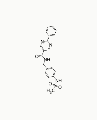 CS(=O)(=O)Nc1ccc(CNC(=O)c2cnc(-c3ccccc3)nc2)cc1